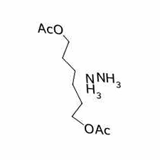 CC(=O)OCCCCCCOC(C)=O.N.N